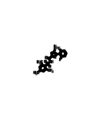 Cc1cc(C)c(S(=O)(=O)NC(=O)c2cn(C)c(-c3c(F)cccc3F)n2)c(C)c1